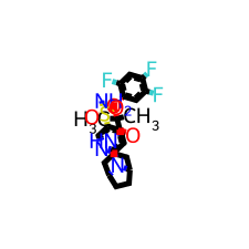 CC(C)(Oc1cc(F)c(F)cc1F)C(=O)NC1CC2CCC(C1)N2c1ccc(S(N)(=O)=O)cn1